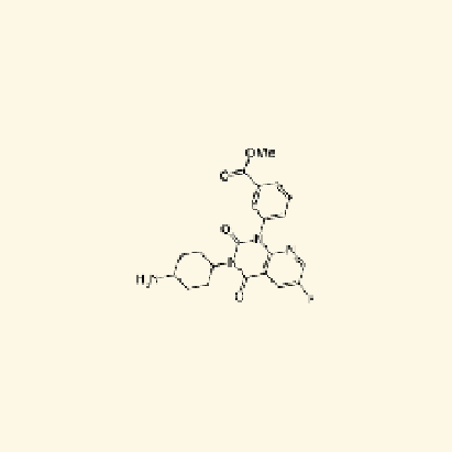 COC(=O)c1cccc(-n2c(=O)n(C3CCC(N)CC3)c(=O)c3cc(F)cnc32)c1